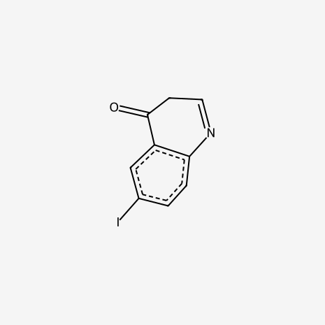 O=C1CC=Nc2ccc(I)cc21